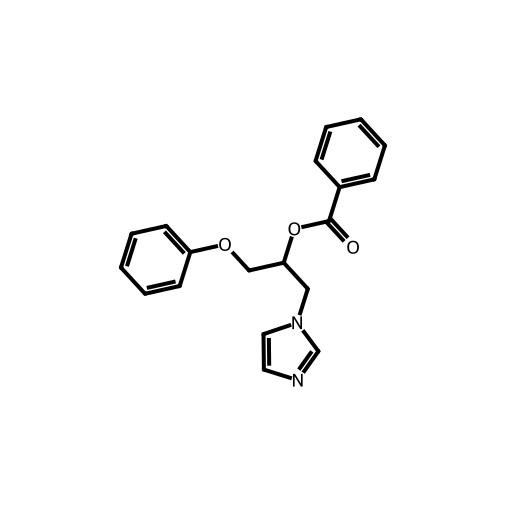 O=C(OC(COc1ccccc1)Cn1ccnc1)c1ccccc1